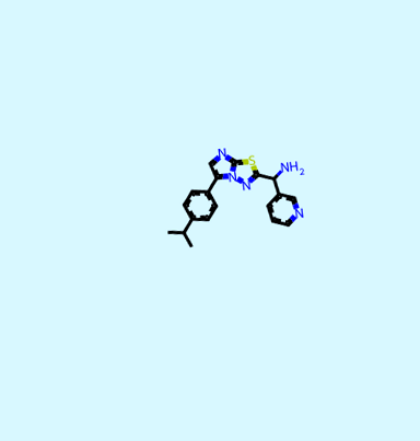 CC(C)c1ccc(-c2cnc3sc(C(N)c4cccnc4)nn23)cc1